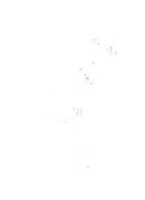 COC(=O)[C@H](CC[n+]1ccc(-c2ncccn2)cn1)NC(=O)OCc1ccccc1.[I-]